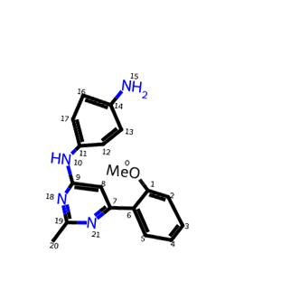 COc1ccccc1-c1cc(Nc2ccc(N)cc2)nc(C)n1